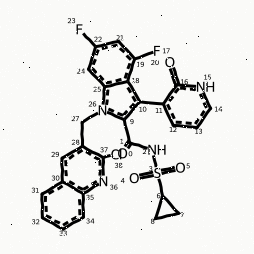 O=C(NS(=O)(=O)C1CC1)c1c(-c2ccc[nH]c2=O)c2c(F)cc(F)cc2n1Cc1cc2ccccc2nc1Cl